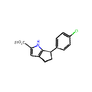 CCOC(=O)c1cc2c([nH]1)C(c1ccc(Cl)cc1)CC2